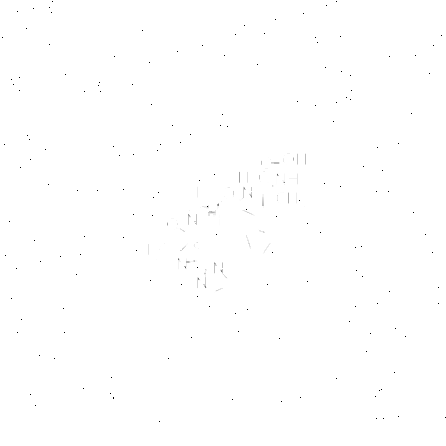 Cc1nc(-c2ncccn2)sc1C(=O)N1C[C@@H]2[C@H](C1)[C@@H]2Oc1cc(-c2ccc(F)cc2)cc(C(C)(C)NC(=O)O)n1